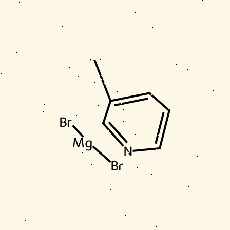 [Br][Mg][Br].[CH2]c1cccnc1